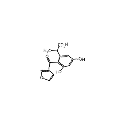 CC(C(=O)O)c1cc(O)cc(O)c1C(=O)c1ccoc1